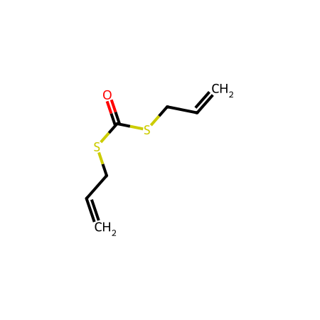 C=CCSC(=O)SCC=C